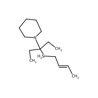 C/C=C/C[SiH2]C(CC)(CC)N1CCCCC1